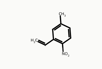 C=[C]c1cc(C)ccc1[N+](=O)[O-]